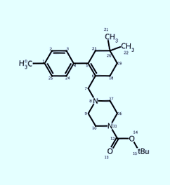 Cc1ccc(C2=C(CN3CCN(C(=O)OC(C)(C)C)CC3)CCC(C)(C)C2)cc1